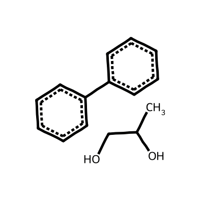 CC(O)CO.c1ccc(-c2ccccc2)cc1